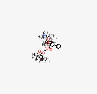 CC(C)CC(C)(CC(CC(C)(C(=O)OCCOC(=O)C(C)(CC(C)C)C(C)C)C(C)C)c1ccccc1)C(=O)OCCN(C)C